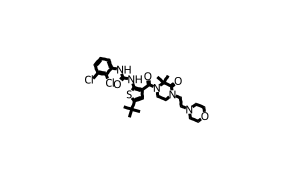 CC(C)(C)c1cc(C(=O)N2CCN(CCN3CCOCC3)C(=O)C2(C)C)c(NC(=O)Nc2cccc(Cl)c2Cl)s1